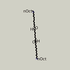 CCCCCCCC/C=C\CCCCCCCCCCCC(=O)NCCCCCCCCNC(=O)CCCCCCCCCCC/C=C\CCCCCCCC